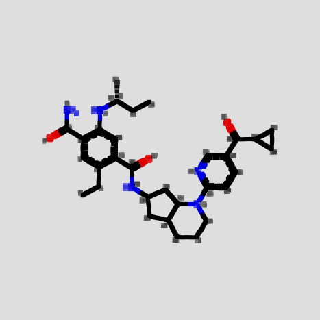 CCc1cc(C(N)=O)c(N[C@H](C)CC)cc1C(=O)NC1CC2CCCN(c3ccc(C(=O)C4CC4)cn3)C2C1